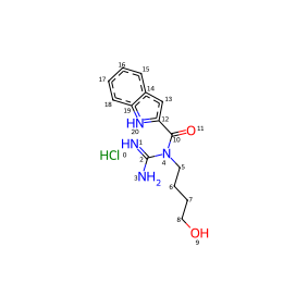 Cl.N=C(N)N(CCCCO)C(=O)c1cc2ccccc2[nH]1